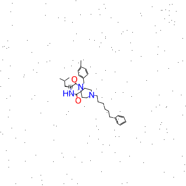 Cc1ccc(CN2C(=O)[C@H](CC(C)C)NC(=O)C23CCN(CCCCCCc2ccccc2)CC3)cc1